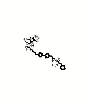 N=C(NCCCCc1ccc(-c2ccc(CCCNC(=O)[C@@H](N)Cc3ccccc3)cc2)cc1)NC(=O)c1nc(Cl)c(N)nc1N